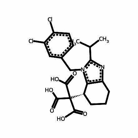 CC(C)c1nc2c(n1Cc1ccc(Cl)c(Cl)c1)[C@@H](C(C(=O)O)(C(=O)O)C(=O)O)CCC2